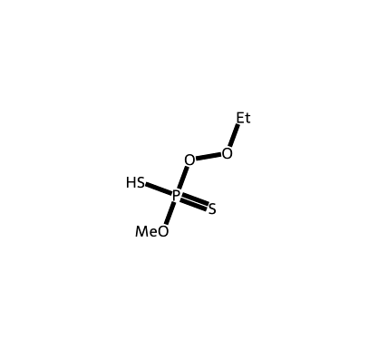 CCOOP(=S)(S)OC